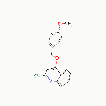 COc1ccc(COc2cc(Cl)nc3ccccc23)cc1